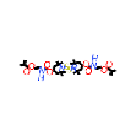 C=C(C)C(=O)OCCNC(=O)OC1CC(C)(C)N(SSN2C(C)(C)CC(OC(=O)NCCOC(=O)C(=C)C)CC2(C)C)C(C)(C)C1